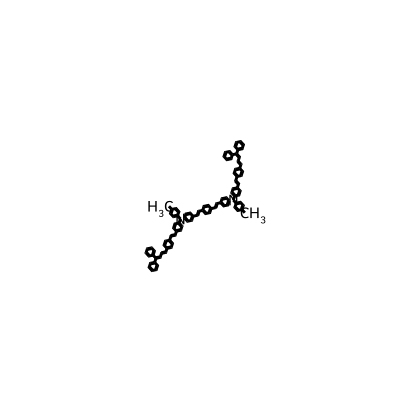 Cc1ccc(N(c2ccc(/C=C/c3ccc(/C=C/C=C(c4ccccc4)c4ccccc4)cc3)cc2)c2ccc(/C=C/c3ccc(/C=C/c4ccc(N(c5ccc(C)cc5)c5ccc(/C=C/c6ccc(/C=C/C=C(c7ccccc7)c7ccccc7)cc6)cc5)cc4)cc3)cc2)cc1